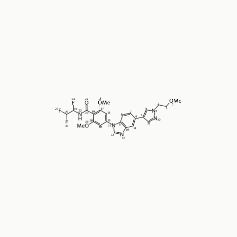 COCCn1cc(-c2ccc3c(c2)ncn3-c2cc(OC)c(C(=O)NC(F)C(F)F)c(OC)c2)cn1